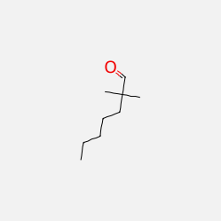 CCCCCC(C)(C)C=O